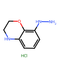 Cl.NNc1cccc2c1OCCN2